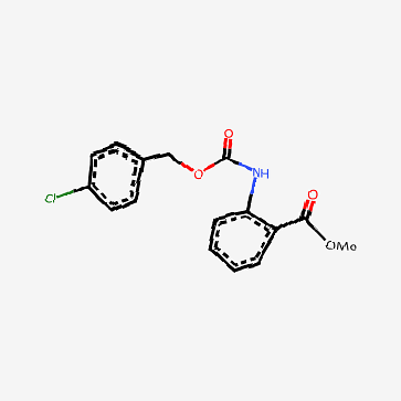 COC(=O)c1ccccc1NC(=O)OCc1ccc(Cl)cc1